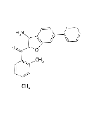 Cc1ccc(C(=O)c2oc3cc(-c4ccccc4)ccc3c2N)c(C)c1